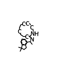 CC(/N=C1\CCCCCCCCCCCN1)c1cccc2c1CCC2(C)C